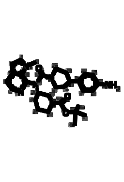 Cn1ccc2ccnc(N(C(=O)N3CCC(c4ccc(N)cc4)CC3)[C@H]3CCCN(C(=O)OC(C)(C)C)C3)c21